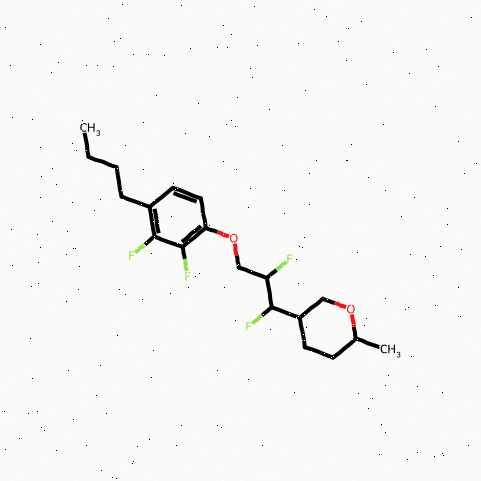 CCCCc1ccc(OCC(F)C(F)C2CCC(C)OC2)c(F)c1F